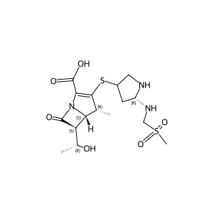 C[C@@H](O)[C@H]1C(=O)N2C(C(=O)O)=C(SC3CN[C@H](NCS(C)(=O)=O)C3)[C@H](C)[C@H]12